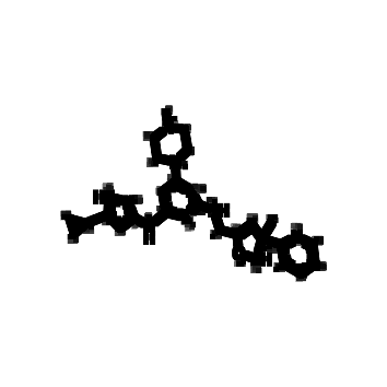 CN1CCN(c2cc(Nc3cc(C4CC4)[nH]n3)nc(NCC3=CC(C)(c4ccccn4)NO3)n2)CC1